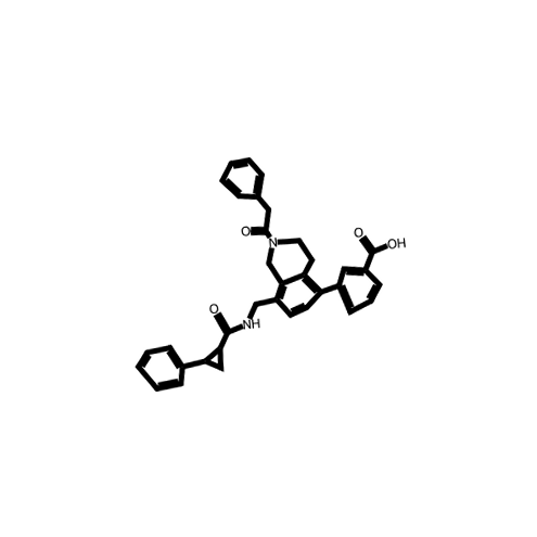 O=C(O)c1cccc(-c2ccc(CNC(=O)C3CC3c3ccccc3)c3c2CCN(C(=O)Cc2ccccc2)C3)c1